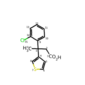 CC(CC(=O)O)(c1ccsc1)c1ccccc1Cl